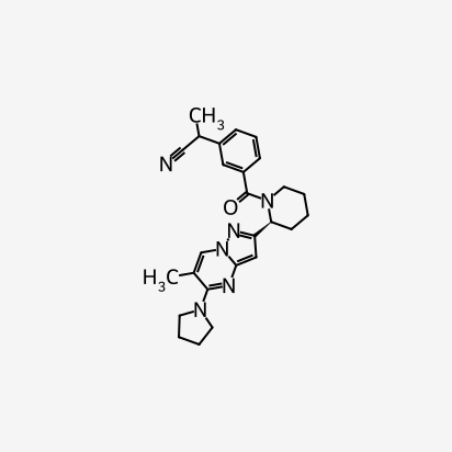 Cc1cn2nc([C@@H]3CCCCN3C(=O)c3cccc(C(C)C#N)c3)cc2nc1N1CCCC1